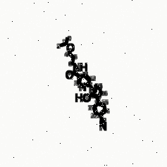 CC(C)OCCCNC(=O)c1ccc(-n2ncc(-c3ccc(C#N)cc3)c2O)nc1